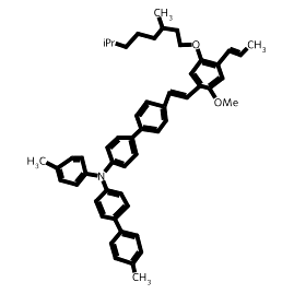 CC=Cc1cc(OC)c(C=Cc2ccc(-c3ccc(N(c4ccc(C)cc4)c4ccc(-c5ccc(C)cc5)cc4)cc3)cc2)cc1OCCC(C)CCCC(C)C